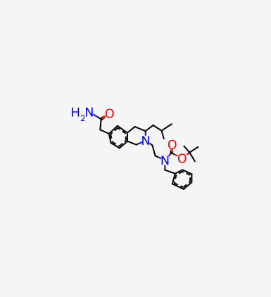 CC(C)CC1Cc2cc(CC(N)=O)ccc2CN1CCN(Cc1ccccc1)C(=O)OC(C)(C)C